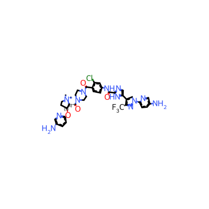 C[N+]1(C)CC[C@H](Oc2ccc(N)cn2)[C@H]1C(=O)N1CCN(C(=O)c2ccc(NC(=O)c3ncc(-c4cn(-c5ccc(N)cn5)nc4C(F)(F)F)[nH]3)cc2Cl)CC1